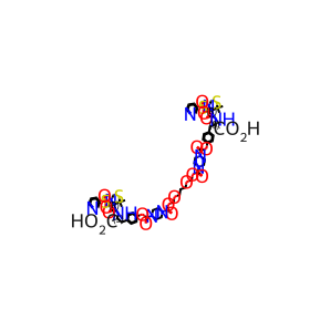 CC1(C)SCN(S(=O)(=O)c2cccnc2)[C@@H]1C(=O)N[C@@H](Cc1ccc(OC(=O)N2CCN(C(=O)OCOCCCOCOC(=O)N3CCN(C(=O)Oc4ccc(C[C@H](NC(=O)[C@H]5N(S(=O)(=O)c6cccnc6)CSC5(C)C)C(=O)O)cc4)CC3)CC2)cc1)C(=O)O